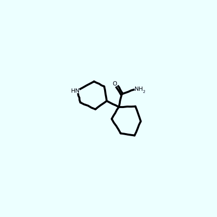 NC(=O)C1(C2CCNCC2)CCCCC1